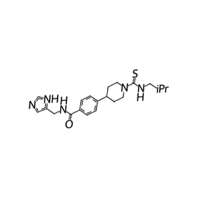 CC(C)CNC(=S)N1CCC(c2ccc(C(=O)NCc3cnc[nH]3)cc2)CC1